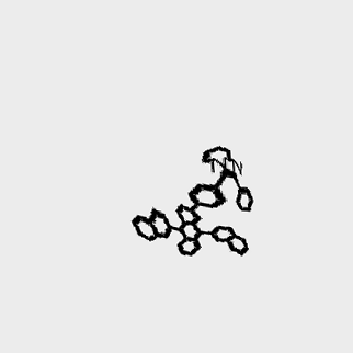 c1ccc(-c2nc3ccccn3c2-c2ccc(-c3ccc4c(-c5ccc6ccccc6c5)c5ccccc5c(-c5ccc6ccccc6c5)c4c3)cc2)cc1